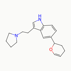 C1=COC(c2ccc3[nH]cc(CCN4CCCC4)c3c2)CC1